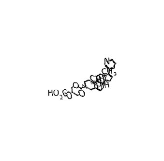 C[C@]12CC[C@H](C3OCC(OC(=O)O)CO3)CC1=CC[C@@H]1[C@@H]2CC[C@]2(C)C(c3cccnc3)=CC[C@@H]12